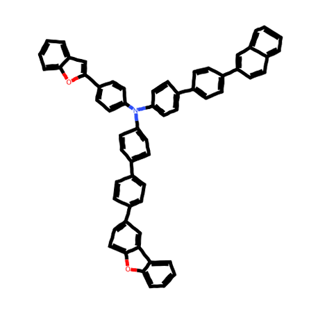 c1ccc2cc(-c3ccc(-c4ccc(N(c5ccc(-c6ccc(-c7ccc8oc9ccccc9c8c7)cc6)cc5)c5ccc(-c6cc7ccccc7o6)cc5)cc4)cc3)ccc2c1